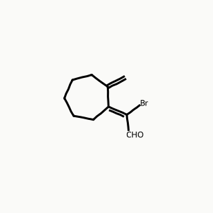 C=C1CCCCC/C1=C(/Br)C=O